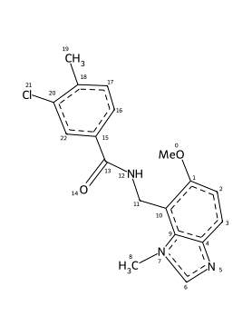 COc1ccc2ncn(C)c2c1CNC(=O)c1ccc(C)c(Cl)c1